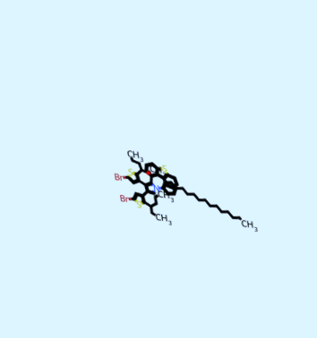 CCCCCCCCCCCCc1ccc(-n2cc(-c3cc(Br)sc3C(CC)CCC)c(-c3cc(Br)sc3C(CC)CCC)c2-c2cccc3sc4ccccc4c23)cc1